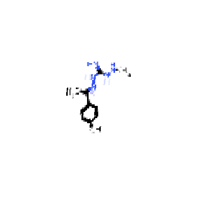 CNNC(=N)N/N=C(\C)c1ccc(C)cc1